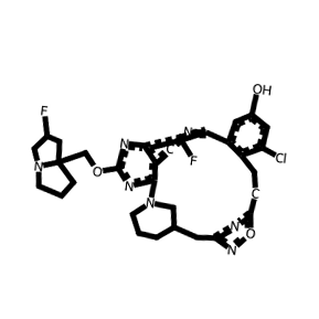 Oc1cc(Cl)c2c(c1)-c1ncc3c(nc(OCC45CCCN4CC(F)C5)nc3c1F)N1CCCC(Cc3noc(n3)CC2)C1